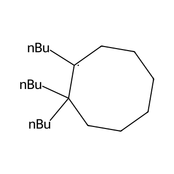 CCCC[C]1CCCCCCC1(CCCC)CCCC